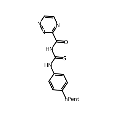 CCCCCc1ccc(NC(=S)NC(=O)c2nccnn2)cc1